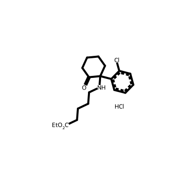 CCOC(=O)CCCCNC1(c2ccccc2Cl)CCCCC1=O.Cl